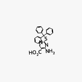 Nc1nc(SC(c2ccccc2)(c2ccccc2)c2ccccc2)ncc1C(=O)O